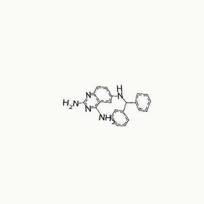 Nc1nc(N)c2cc(NC(c3ccccc3)c3ccccc3)ccc2n1